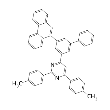 Cc1ccc(-c2cc(-c3cc(-c4ccccc4)cc(-c4cc5ccccc5c5ccccc45)c3)nc(-c3ccc(C)cc3)n2)cc1